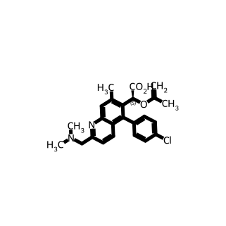 C=C(C)O[C@H](C(=O)O)c1c(C)cc2nc(CN(C)C)ccc2c1-c1ccc(Cl)cc1